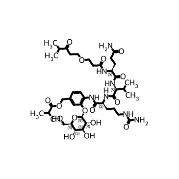 CC(C)C(=O)CCOCCC(=O)N[C@@H](CCC(N)=O)C(=O)N[C@H](C(=O)N[C@@H](CCCNC(N)=O)C(=O)Nc1ccc(COC(=O)C(C)C)cc1O[C@@H]1O[C@H](CO)[C@@H](O)[C@H](O)[C@H]1O)C(C)C